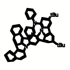 CC(C)(C)c1cc(N(c2ccccc2)c2ccccc2)c2c(c1)c1cc(C(C)(C)C)cc3c4cc5c(nc4n2c31)c1c2ccccc2cc2c3c4ccccc4ccc3n5c21